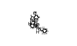 COc1cccc2c1CCN1C[C@@H]3CCCN(C(=O)NCCc4ccccc4)[C@@H]3C[C@H]21